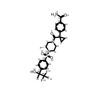 C[C@@H]1CN(C(=O)C2(c3ccc(C(N)=O)cc3)CC2)CCN1S(=O)(=O)c1ccc(C(C)(O)C(F)(F)F)cc1